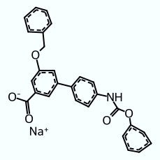 O=C(Nc1ccc(-c2cc(OCc3ccccc3)cc(C(=O)[O-])c2)cc1)Oc1ccccc1.[Na+]